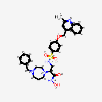 Cc1cc(COc2ccc(S(=O)(=O)NCC(C(=O)NO)N3CCCN(Cc4ccccc4)CC3)cc2)c2ccccc2n1